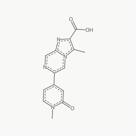 Cc1c(C(=O)O)nc2cnc(-c3ccn(C)c(=O)c3)cn12